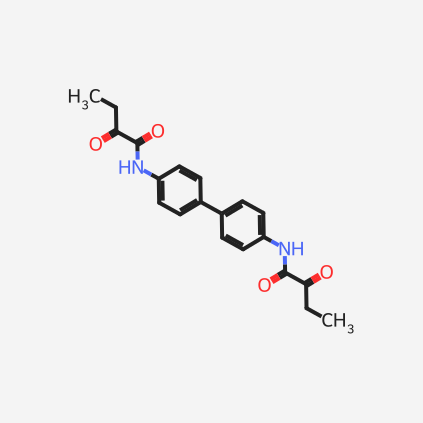 CCC(=O)C(=O)Nc1ccc(-c2ccc(NC(=O)C(=O)CC)cc2)cc1